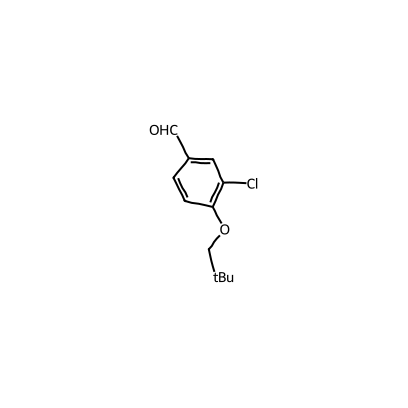 CC(C)(C)COc1ccc(C=O)cc1Cl